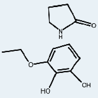 CCOc1cccc(O)c1O.O=C1CCCN1